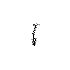 O=C(O)CCCCCCC#Cc1ccc(OC(F)(F)F)cc1